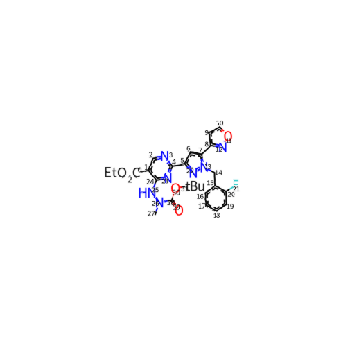 CCOC(=O)c1cnc(-c2cc(-c3ccon3)n(Cc3ccccc3F)n2)nc1NN(C)C(=O)OC(C)(C)C